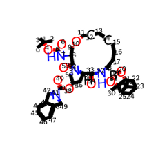 CC(C)(C)OC(=O)N[C@H]1COCCCCCCC[C@H](B2OC3CC4CC(C4(C)C)C3(C)O2)NC(=O)[C@@H]2C[C@@H](OC(=O)N3Cc4ccccc4C3)CN2C1=O